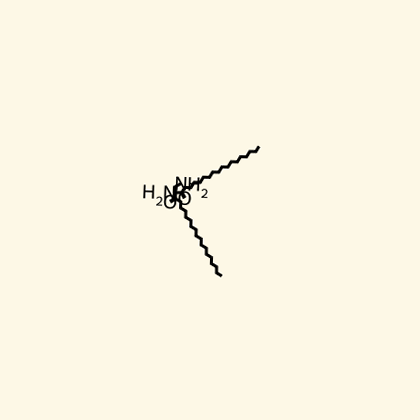 CCCCCCCCCCCCCCCCCC(=O)C(N)(CN)C(=O)CCCCCCCCCCCCCCCCC